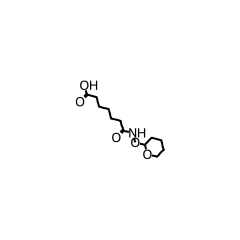 O=C(O)CCCCCC(=O)NOC1CCCCO1